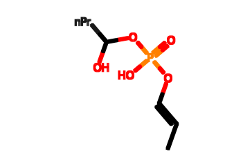 CC=COP(=O)(O)OC(O)CCC